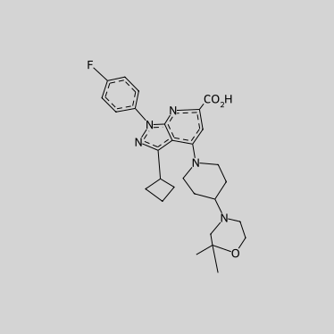 CC1(C)CN(C2CCN(c3cc(C(=O)O)nc4c3c(C3CCC3)nn4-c3ccc(F)cc3)CC2)CCO1